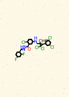 O=CC1(CNc2ccc(Cl)c(C(=O)N/N=C/c3ccc(F)cc3F)c2)C(c2cc(Cl)cc(Cl)c2)C1(Cl)Cl